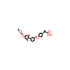 CCOCCOc1cc(C)c(-c2cccc(COc3ccc(C4CC4C(=O)O)cc3)c2)c(C)c1